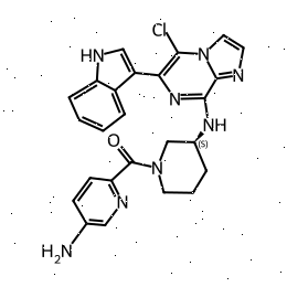 Nc1ccc(C(=O)N2CCC[C@H](Nc3nc(-c4c[nH]c5ccccc45)c(Cl)n4ccnc34)C2)nc1